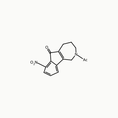 CC(=O)N1CCCC2=C(C1)c1cccc([N+](=O)[O-])c1C2=O